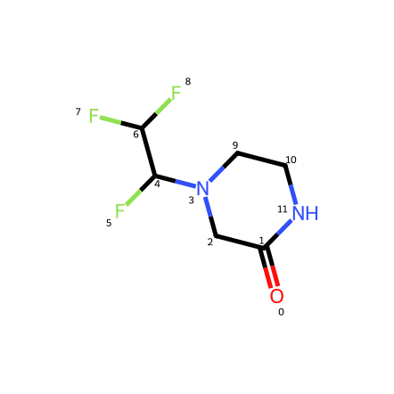 O=C1CN(C(F)C(F)F)CCN1